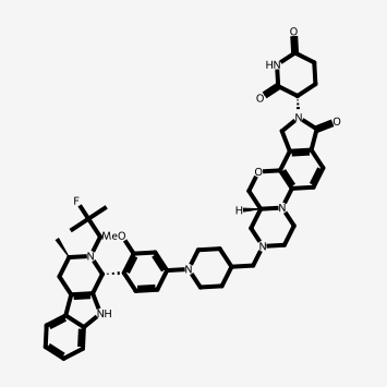 COc1cc(N2CCC(CN3CCN4c5ccc6c(c5OC[C@H]4C3)CN([C@H]3CCC(=O)NC3=O)C6=O)CC2)ccc1[C@@H]1c2[nH]c3ccccc3c2C[C@@H](C)N1CC(C)(C)F